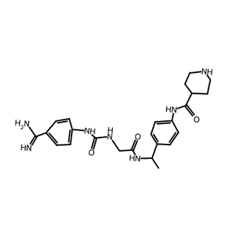 CC(NC(=O)CNC(=O)Nc1ccc(C(=N)N)cc1)c1ccc(NC(=O)C2CCNCC2)cc1